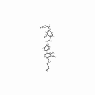 C=CCOc1ccc(-c2ccc(CCc3ccc(C(C)O)cc3F)cc2)c(F)c1F